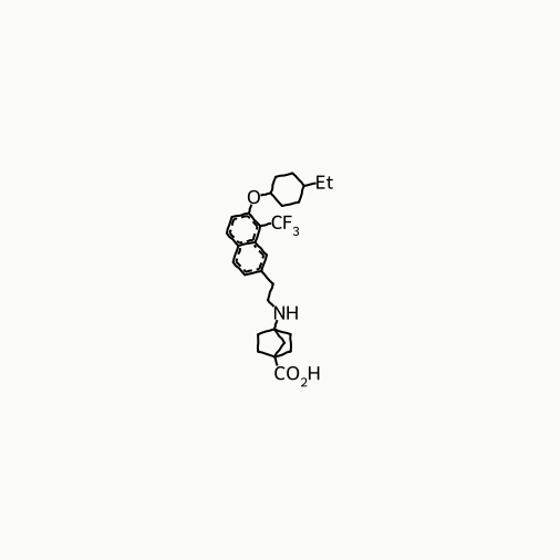 CCC1CCC(Oc2ccc3ccc(CCNC45CCC(C(=O)O)(CC4)C5)cc3c2C(F)(F)F)CC1